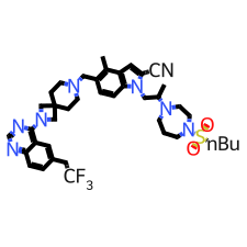 CCCCS(=O)(=O)N1CCCN(C(C)Cn2c(C#N)cc3c(C)c(CN4CCC5(CC4)CN(c4ncnc6ccc(CC(F)(F)F)cc46)C5)ccc32)CC1